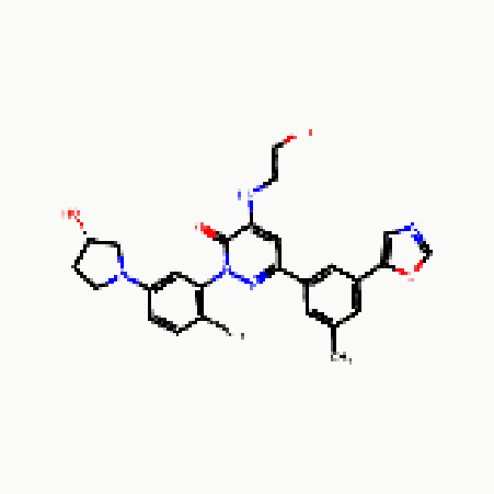 Cc1cc(-c2cc(NCCO)c(=O)n(-c3cc(N4CC[C@H](O)C4)ccc3C(F)(F)F)n2)cc(-c2cnco2)c1